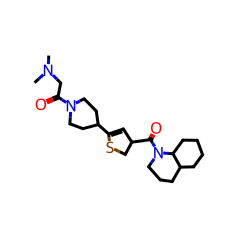 CN(C)CC(=O)N1CCC(C2=CC(C(=O)N3CCCC4CCCCC43)CS2)CC1